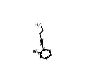 CCCC#Cc1ccccc1Br